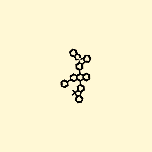 CC1(C)c2ccccc2-c2ccc(-c3c4ccccc4c(-c4ccc5c(c4)-c4ccccc4[Si]54Cc5ccccc5C4)c4ccc(-c5ccccc5)cc34)cc21